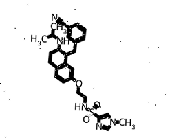 CC(C)NC1CCc2ccc(OCCNS(=O)(=O)c3cn(C)cn3)cc2C1Cc1cccc(C#N)c1